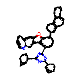 c1ccc(-c2nc(-c3ccccc3)nc(-c3ccc(-c4ccc5c(ccc6ccccc65)c4)c4oc5cc6cccnc6cc5c34)n2)cc1